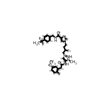 CN1NN(CC(F)CCn2cc(C(=O)NCc3ccc(C(C)(F)F)cc3)nn2)C=C1NC(=O)Cc1cc(OC(F)(F)F)ccc1F